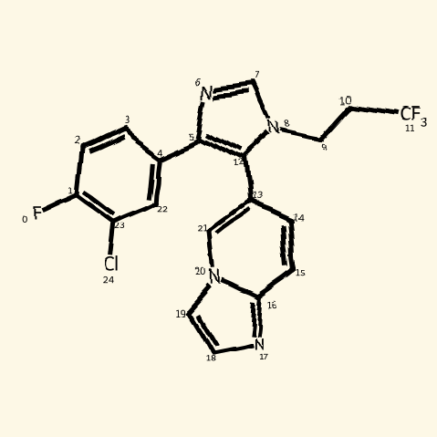 Fc1ccc(-c2ncn(CCC(F)(F)F)c2-c2ccc3nccn3c2)cc1Cl